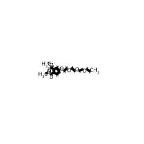 CCCOCCOCCOCCOc1ccc(C(=O)OC)c(C(=O)OC)c1